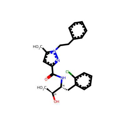 O=C(N[C@H](Cc1ccccc1Cl)[C@@H](O)C(=O)O)c1cc(C(=O)O)n(CCc2ccccc2)n1